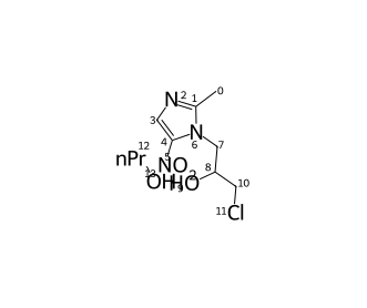 Cc1ncc([N+](=O)[O-])n1CC(O)CCl.[CH2]CCO